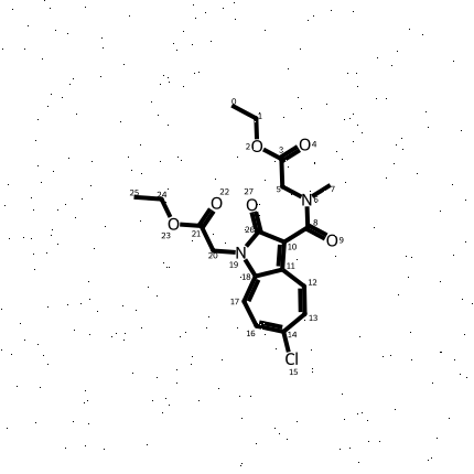 CCOC(=O)CN(C)C(=O)c1c2ccc(Cl)ccc-2n(CC(=O)OCC)c1=O